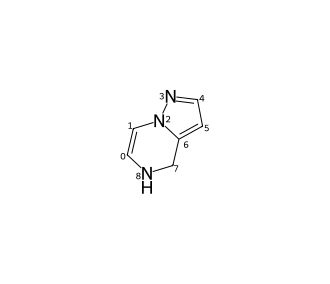 C1=Cn2nccc2CN1